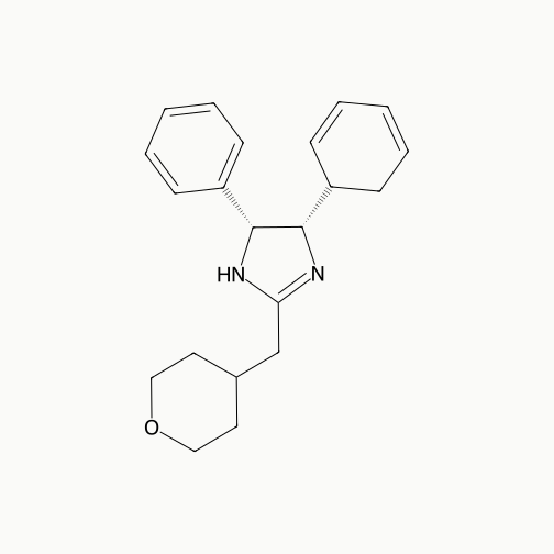 C1=CCC([C@@H]2N=C(CC3CCOCC3)N[C@@H]2c2ccccc2)C=C1